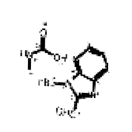 CCCCn1c(C=O)nc2ccccc21.CNC(=O)O